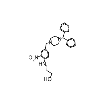 O=[N+]([O-])c1cc(CN2CCN(C(c3ccccc3)c3ccccc3)CC2)ccc1NCCCO